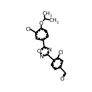 CC(C)Oc1ccc(-c2nc(-c3ccc(C=O)cc3Cl)no2)cc1Cl